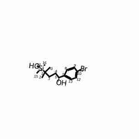 CC(C)(CC[C@@H](O)c1ccc(Br)cc1)[Si](C)(C)O